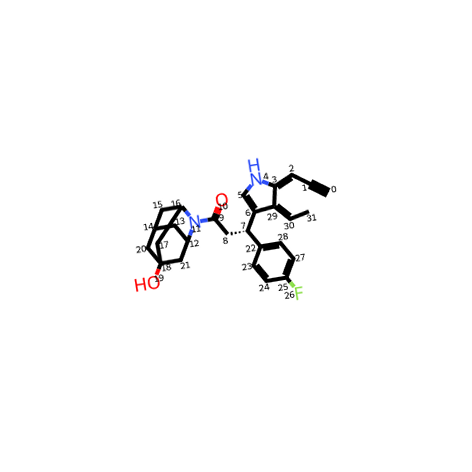 C#C/C=c1/[nH]cc([C@@H](CC(=O)N2C3CC4CC2CC(O)(C4)C3)c2ccc(F)cc2)/c1=C/C